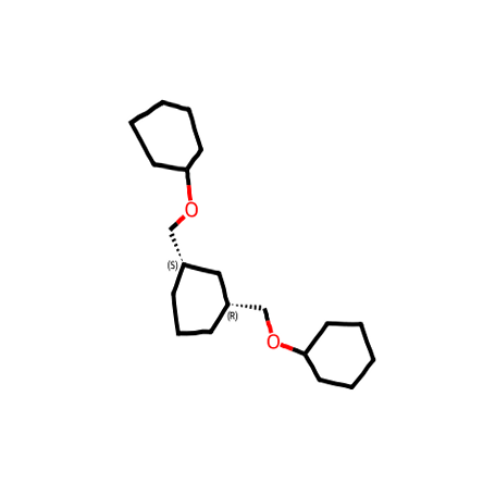 C1CCC(OC[C@H]2CCC[C@@H](COC3CCCCC3)C2)CC1